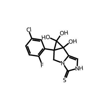 OC1(O)C2(O)c3c[nH]c(=S)n3CC12c1cc(Cl)ccc1F